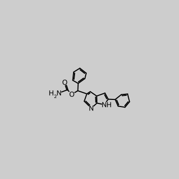 NC(=O)OC(c1ccccc1)c1cnc2[nH]c(-c3ccccc3)cc2c1